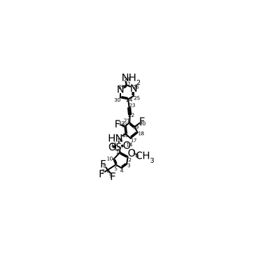 COc1ccc(C(F)(F)F)cc1S(=O)(=O)Nc1ccc(F)c(C#Cc2cnc(N)nc2)c1F